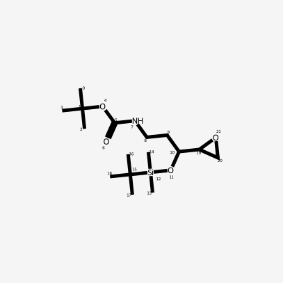 CC(C)(C)OC(=O)NCCC(O[Si](C)(C)C(C)(C)C)C1CO1